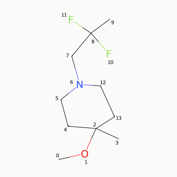 COC1(C)CCN(CC(C)(F)F)CC1